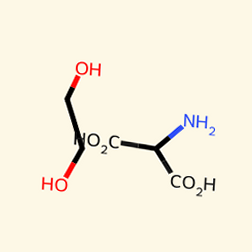 NC(C(=O)O)C(=O)O.OCCO